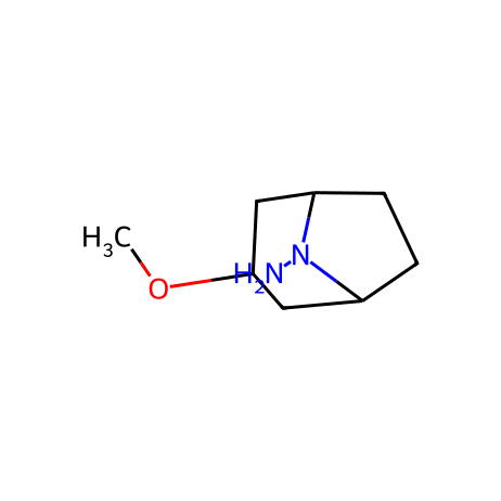 COC1CC2CCC(C1)N2N